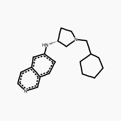 c1cc2cc(N[C@@H]3CCN(CC4CCCCC4)C3)ccc2cn1